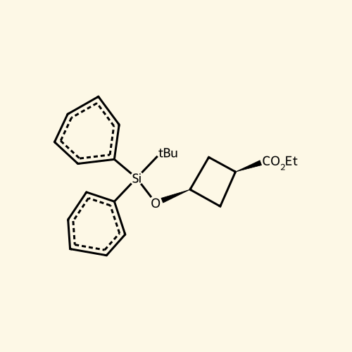 CCOC(=O)[C@H]1C[C@@H](O[Si](c2ccccc2)(c2ccccc2)C(C)(C)C)C1